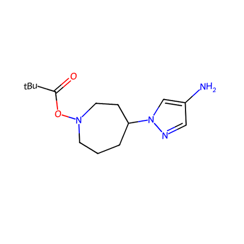 CC(C)(C)C(=O)ON1CCCC(n2cc(N)cn2)CC1